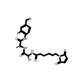 CC(C)[C@H](NC(=O)CCCCCN1C(=O)C=CC1=O)C(=O)N[C@@H](C)C(=O)Nc1ccc(CBr)cc1F